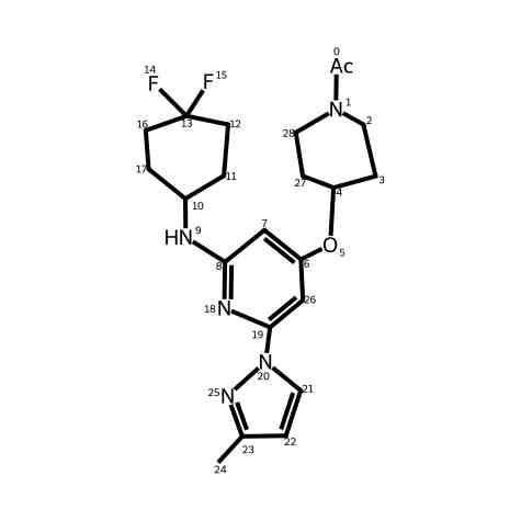 CC(=O)N1CCC(Oc2cc(NC3CCC(F)(F)CC3)nc(-n3ccc(C)n3)c2)CC1